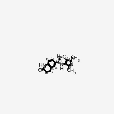 Cc1nn(C)c(C)c1N[S+]([O-])c1ccc2c(c1)CCC(=O)N2